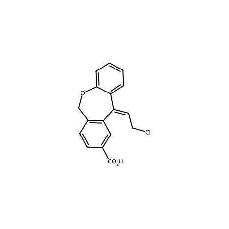 O=C(O)c1ccc2c(c1)C(=CCCl)c1ccccc1OC2